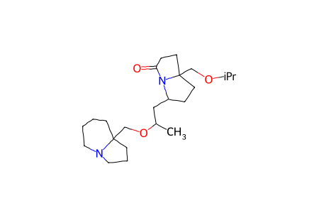 CC(C)OCC12CCC(=O)N1C(CC(C)OCC13CCCCN1CCC3)CC2